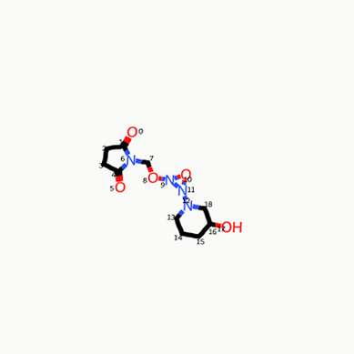 O=C1CCC(=O)N1COn1on1N1CCCC(O)C1